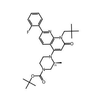 C[C@H]1CN(C(=O)OC(C)(C)C)CCN1c1cc(=O)n(CC(C)(C)C)c2nc(-c3ccccc3F)ccc12